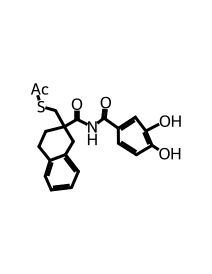 CC(=O)SCC1(C(=O)NC(=O)c2ccc(O)c(O)c2)CCc2ccccc2C1